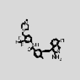 Cc1ccc(C(=O)Nc2ccc(CN3CCN(C)CC3)c(C(F)(F)F)c2)cc1C#Cc1c(N)ncc2c(Cl)cccc12